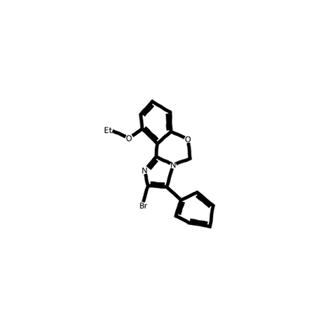 CCOc1cccc2c1-c1nc(Br)c(-c3ccccc3)n1CO2